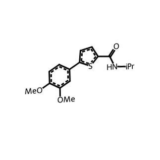 COc1ccc(-c2ccc(C(=O)NC(C)C)s2)cc1OC